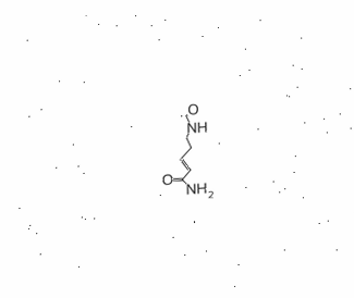 NC(=O)C=CCCN[C]=O